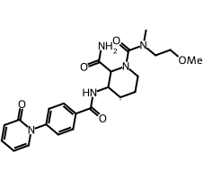 COCCN(C)C(=O)N1CC[CH]C(NC(=O)c2ccc(-n3ccccc3=O)cc2)C1C(N)=O